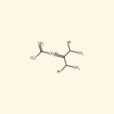 C=C(C)C(=O)OCC.CC(C)C(C)C(=O)C(C)C(C)C